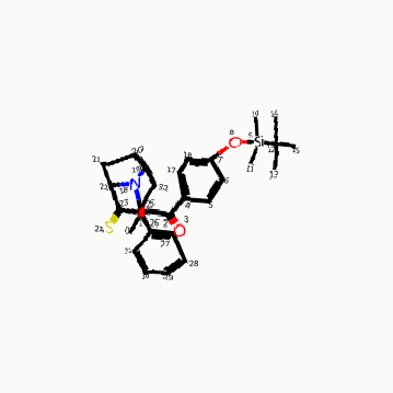 CC(C(=O)c1ccc(O[Si](C)(C)C(C)(C)C)cc1)N1C2CCC1C(=S)C(c1ccccc1)C2